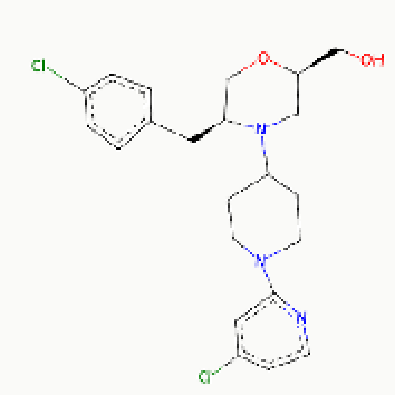 OC[C@H]1CN(C2CCN(c3cc(Cl)ccn3)CC2)[C@@H](Cc2ccc(Cl)cc2)CO1